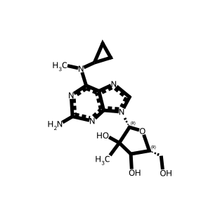 CN(c1nc(N)nc2c1ncn2[C@@H]1O[C@H](CO)C(O)C1(C)O)C1CC1